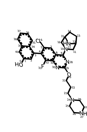 Oc1cc(-c2c(Cl)cc3c(N4CC5CCC(C4)N5)nc(OCCCN4CCNCC4)nc3c2F)c2ccccc2c1